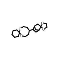 C1CCC2(CC1)OCCC(C1CC3CC1CC31OCCO1)CCO2